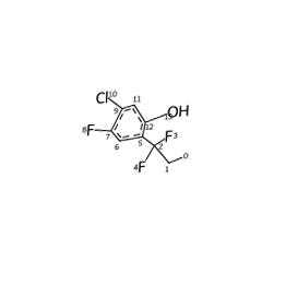 CCC(F)(F)c1cc(F)c(Cl)cc1O